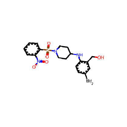 Bc1ccc(NC2CCN(S(=O)(=O)c3ccccc3[N+](=O)[O-])CC2)c(CO)c1